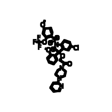 COc1ccc(S(=O)(=O)N2C(=O)C(OCC(=O)N3CCN(c4ccccn4)CC3)(c3ccccc3OC)c3cc(Cl)ccc32)c(OC(F)(F)F)c1